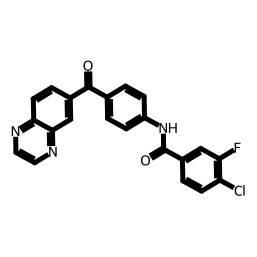 O=C(Nc1ccc(C(=O)c2ccc3nccnc3c2)cc1)c1ccc(Cl)c(F)c1